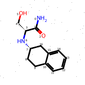 NC(=O)[C@@H](CO)N[C@H]1CCc2ccccc2C1